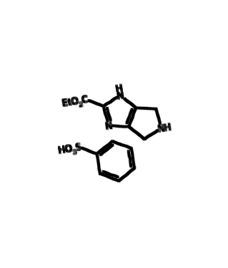 CCOC(=O)c1nc2c([nH]1)CNC2.O=S(=O)(O)c1ccccc1